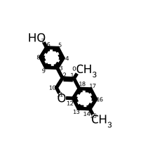 CC1=C(c2ccc(O)cc2)COc2cc(C)ccc21